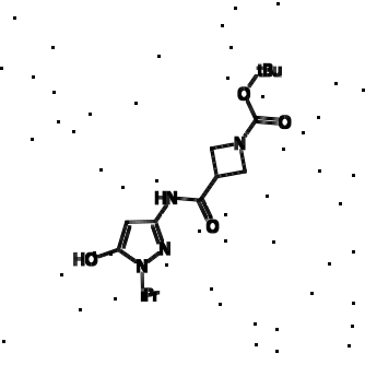 CC(C)n1nc(NC(=O)C2CN(C(=O)OC(C)(C)C)C2)cc1O